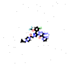 N=C(N)/C(C(=O)Nc1cn(CC(=O)N2CCN(CC3CC3)CC2)nc1-c1cc(Cl)ccc1OC(F)F)=C1/N=CC=CN1